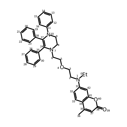 CCN(CCOCCN1CCN(c2ccccc2)C(c2ccccc2)=C1c1ccccc1)c1ccc2c(C)cc(=O)oc2c1